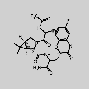 CC(C)C(NC(=O)C(F)(F)F)C(=O)N1C[C@H]2[C@@H]([C@H]1C(=O)NC(C[C@@H]1Oc3ccc(F)cc3NC1=O)C(N)=O)C2(C)C